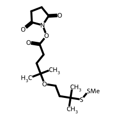 CSSC(C)(C)CCOC(C)(C)CCC(=O)ON1C(=O)CCC1=O